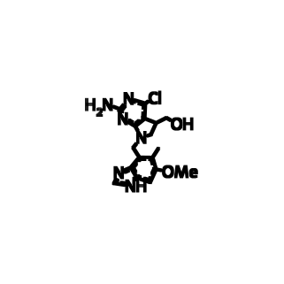 COc1cc2[nH]cnc2c(CN2CC(CO)c3c(Cl)nc(N)nc32)c1C